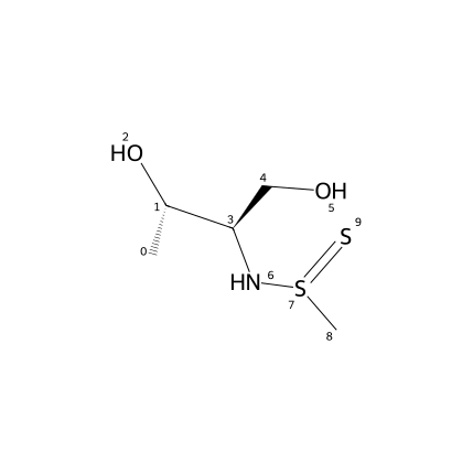 C[C@H](O)[C@@H](CO)NS(C)=S